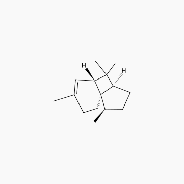 CC1=C[C@@H]2C(C)(C)[C@H]3CC[C@@H](C)[C@@]23CC1